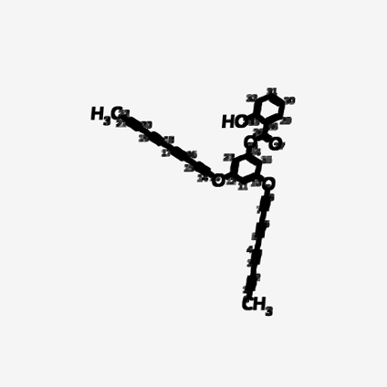 CC#CC#CC#CC#COc1cc(OC#CC#CC#CC#CC)cc(OC(=O)c2ccccc2O)c1